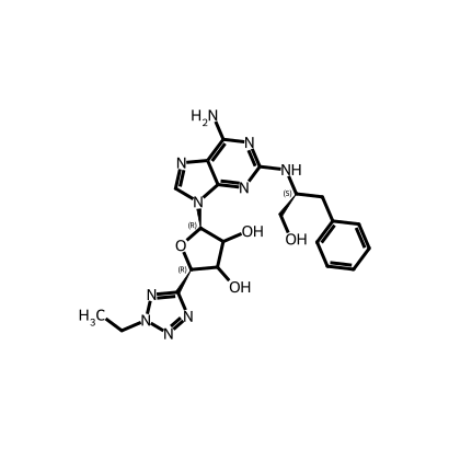 CCn1nnc([C@H]2O[C@@H](n3cnc4c(N)nc(N[C@H](CO)Cc5ccccc5)nc43)C(O)C2O)n1